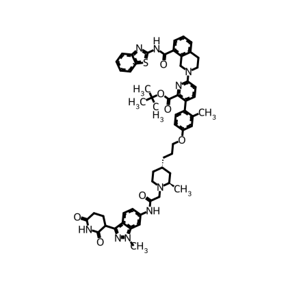 Cc1cc(OCCC[C@H]2CCN(CC(=O)Nc3ccc4c(C5CCC(=O)NC5=O)nn(C)c4c3)[C@H](C)C2)ccc1-c1ccc(N2CCc3cccc(C(=O)Nc4nc5ccccc5s4)c3C2)nc1C(=O)OC(C)(C)C